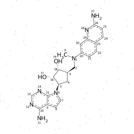 CN(C[C@H]1C[C@@H](n2ccc3c(N)ncnc32)[C@H](O)[C@@H]1O)c1ccc2ccc(N)nc2c1